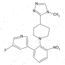 Cn1cnnc1C1CCN(c2c(-c3cncc(F)c3)cccc2[N+](=O)[O-])CC1